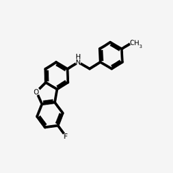 Cc1ccc(CNc2ccc3oc4ccc(F)cc4c3c2)cc1